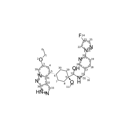 CCOc1cc([C@H]2CC[C@@](OC)(C(O)N[C@@H](C)c3ccc(-n4cc(F)cn4)nc3)CC2)c2c3cn[nH]c3nn2c1